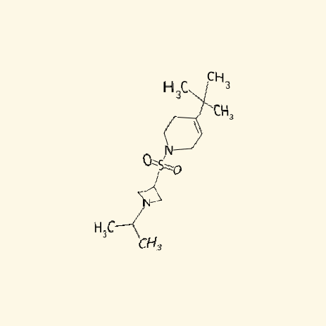 CC(C)N1CC(S(=O)(=O)N2CC=C(C(C)(C)C)CC2)C1